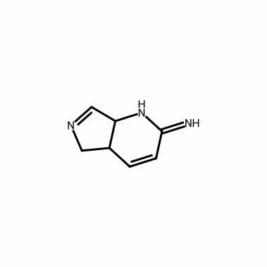 N=C1C=CC2CN=CC2N1